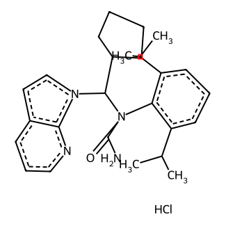 CC(C)c1cccc(C(C)C)c1N(C(N)=O)C(C1CCCC1)n1ccc2cccnc21.Cl